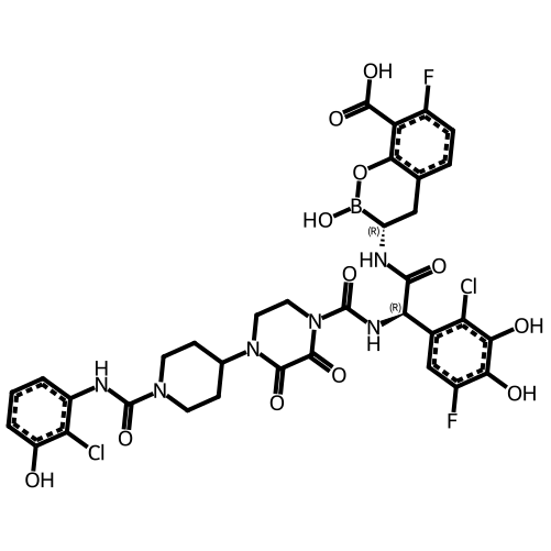 O=C(O)c1c(F)ccc2c1OB(O)[C@@H](NC(=O)[C@H](NC(=O)N1CCN(C3CCN(C(=O)Nc4cccc(O)c4Cl)CC3)C(=O)C1=O)c1cc(F)c(O)c(O)c1Cl)C2